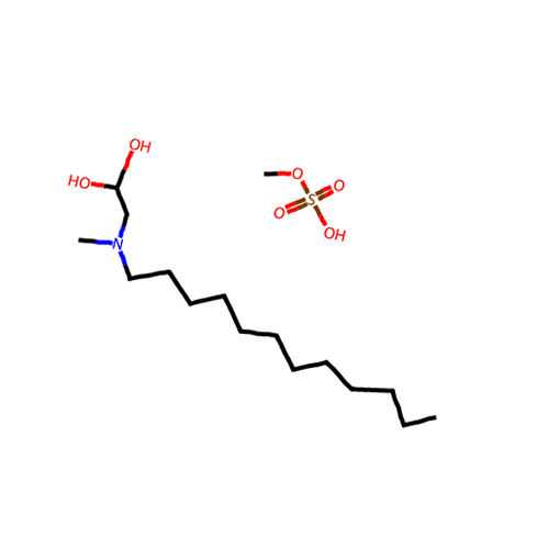 CCCCCCCCCCCCN(C)CC(O)O.COS(=O)(=O)O